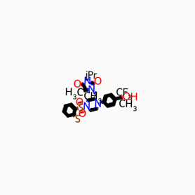 CC(C)N1C(=O)N(C[C@H]2CN(S(=O)(=O)C3=CC=CCC3=S)CCN2c2ccc([C@](C)(O)C(F)(F)F)cc2)C(C)(C)C1=O